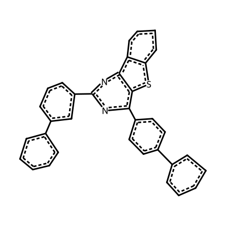 c1ccc(-c2ccc(-c3nc(-c4cccc(-c5ccccc5)c4)nc4c3sc3ccccc34)cc2)cc1